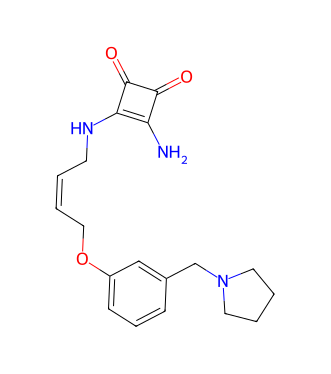 Nc1c(NC/C=C\COc2cccc(CN3CCCC3)c2)c(=O)c1=O